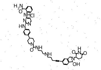 NC(=O)c1ccccc1Nc1nc(Nc2ccc(C3CCN(C(=O)NCCCNCCCC#Cc4ccc5c(c4)CN(C4CCC(=O)NC4=O)C5O)CC3)cc2)ncc1Cl